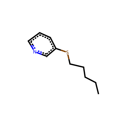 CCCCCSc1[c]nccc1